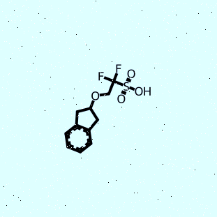 O=S(=O)(O)C(F)(F)COC1Cc2ccccc2C1